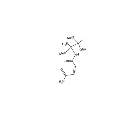 COC([SiH3])(NC(=O)/C=C\C(N)=O)C(C)(OC)OC